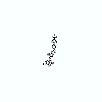 O=C(CC1CCC(COc2cn[nH]c(=O)c2C(F)(F)F)N1)N1CCN(c2ncc(C(F)(F)F)cn2)CC1